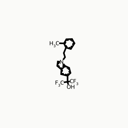 Cc1ccccc1CCn1ccc2cc(C(O)(C(F)(F)F)C(F)(F)F)ccc21